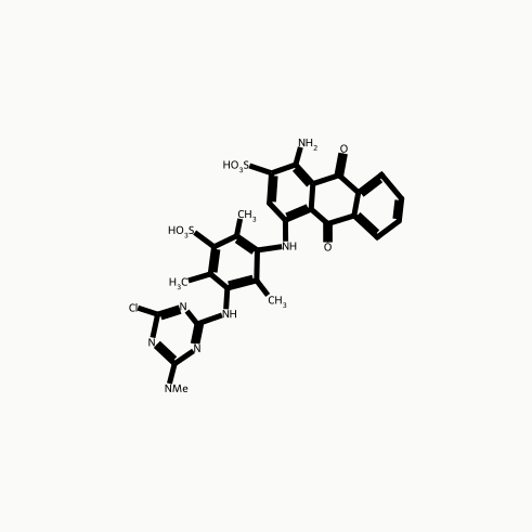 CNc1nc(Cl)nc(Nc2c(C)c(Nc3cc(S(=O)(=O)O)c(N)c4c3C(=O)c3ccccc3C4=O)c(C)c(S(=O)(=O)O)c2C)n1